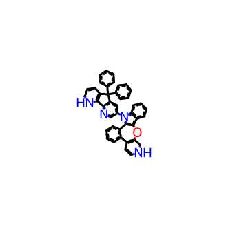 C1=CC2=C(NC1)c1ncc(-n3c4c(c5ccccc53)OC3=C(C=CNC3)c3ccccc3-4)cc1C2(c1ccccc1)c1ccccc1